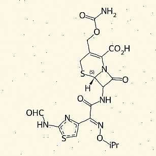 CC(C)ON=C(C(=O)NC1C(=O)N2C(C(=O)O)=C(COC(N)=O)CS[C@@H]12)c1csc(NC=O)n1